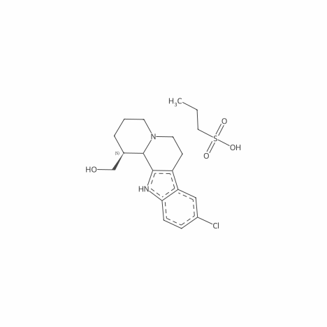 CCCS(=O)(=O)O.OC[C@H]1CCCN2CCc3c([nH]c4ccc(Cl)cc34)C12